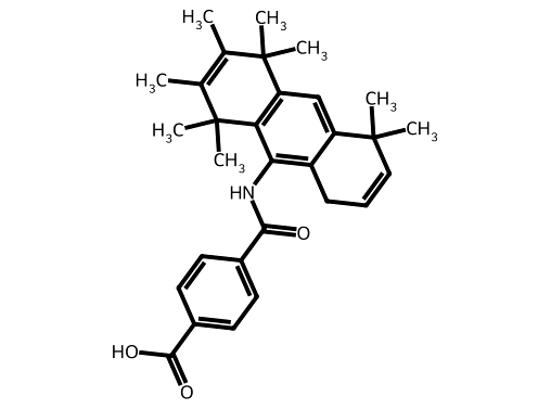 CC1=C(C)C(C)(C)c2c(cc3c(c2NC(=O)c2ccc(C(=O)O)cc2)CC=CC3(C)C)C1(C)C